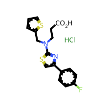 Cl.O=C(O)CCN(Cc1cccs1)c1nc(-c2ccc(F)cc2)cs1